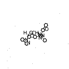 CC1(C)c2ccc(-n3c4ccccc4c4cccnc43)cc2-c2ccc(-c3nc(-c4ccccc4)nc(-c4ccc5c(c4)oc4ccccc45)n3)cc21